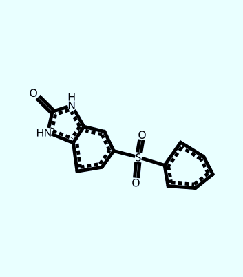 O=c1[nH]c2ccc(S(=O)(=O)c3ccccc3)cc2[nH]1